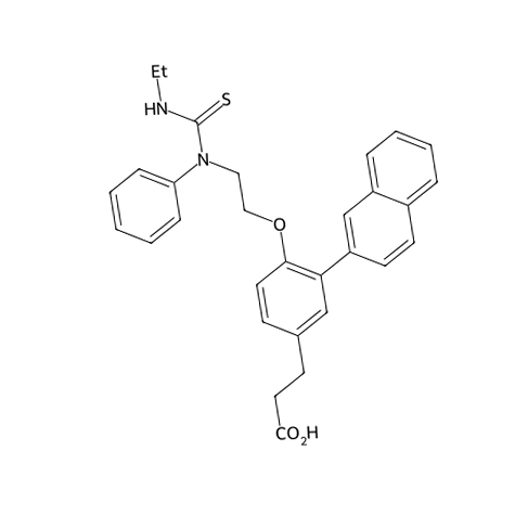 CCNC(=S)N(CCOc1ccc(CCC(=O)O)cc1-c1ccc2ccccc2c1)c1ccccc1